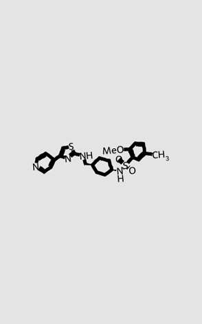 COc1ccc(C)cc1S(=O)(=O)N[C@H]1CC[C@H](CNc2nc(-c3ccncc3)cs2)CC1